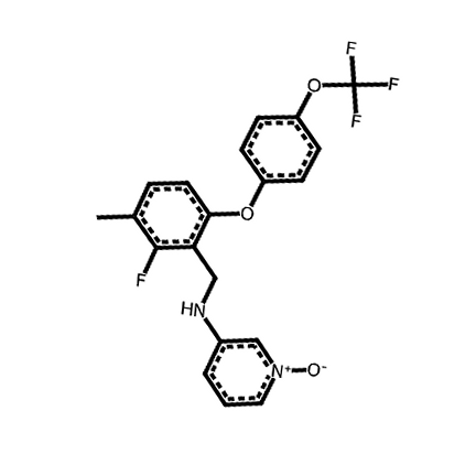 Cc1ccc(Oc2ccc(OC(F)(F)F)cc2)c(CNc2ccc[n+]([O-])c2)c1F